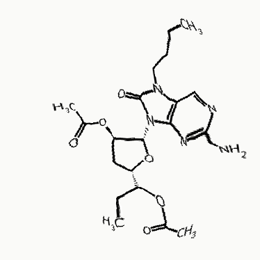 CCCCn1c(=O)n([C@@H]2O[C@H](C(CC)OC(C)=O)C[C@H]2OC(C)=O)c2nc(N)ncc21